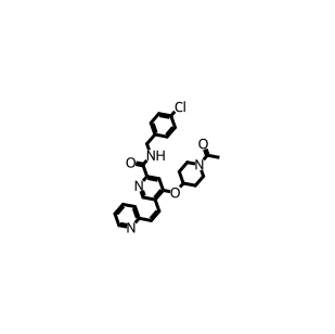 CC(=O)N1CCC(Oc2cc(C(=O)NCc3ccc(Cl)cc3)ncc2/C=C\c2ccccn2)CC1